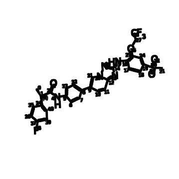 C[C@@H](C(=O)Nc1ccc(-c2ccc3nc(Nc4ccc(S(C)(=O)=O)cc4OCC(F)(F)F)nn3c2)cc1)c1ccc(F)cc1